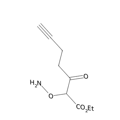 C#CCCC(=O)C(ON)C(=O)OCC